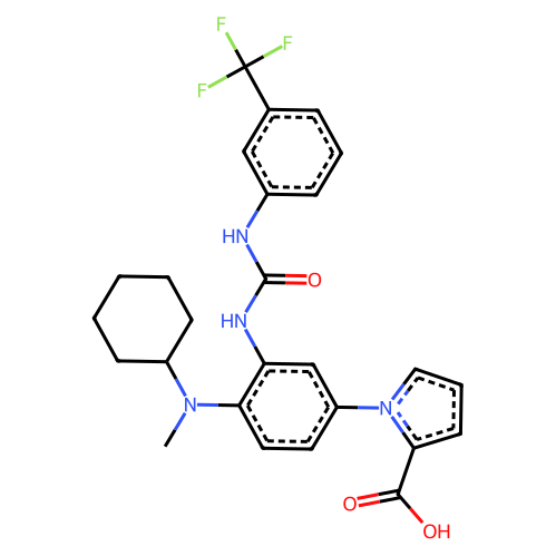 CN(c1ccc(-n2cccc2C(=O)O)cc1NC(=O)Nc1cccc(C(F)(F)F)c1)C1CCCCC1